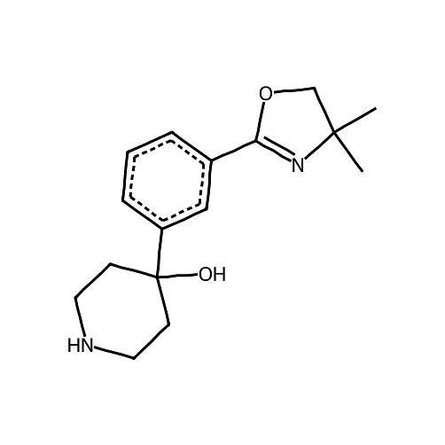 CC1(C)COC(c2cccc(C3(O)CCNCC3)c2)=N1